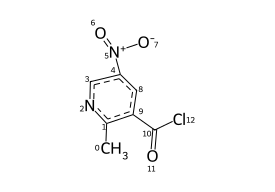 Cc1ncc([N+](=O)[O-])cc1C(=O)Cl